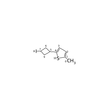 Cc1ccc(C2CC(I)C2)s1